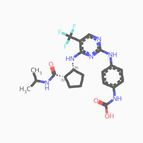 CC(C)NC(=O)[C@H]1CCC[C@H]1Nc1nc(Nc2ccc(NC(=O)O)cc2)ncc1C(F)(F)F